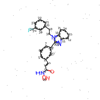 O=C(C=Cc1cccc(-c2nc3ccccc3n2CCc2cccc(F)c2)c1)NO